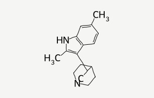 Cc1ccc2c(C3CN4CCC3CC4)c(C)[nH]c2c1